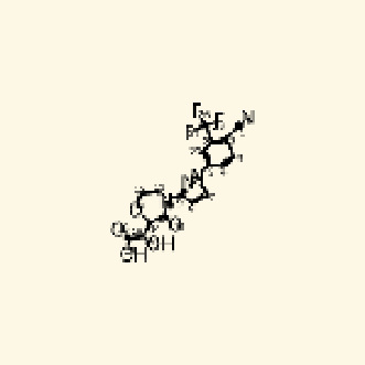 N#Cc1ccc(-n2ccc(N3CCOC(C(O)C(=O)O)C3=O)n2)cc1C(F)(F)F